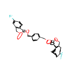 Fc1ccc2c(c1)COB2OCc1ccc(COB2OCc3cc(F)ccc32)cc1